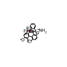 COc1ccc(C(N)=O)c(-c2c(Cl)ccc3c2[C@H](O)[C@@](CN)(c2ccccc2OC(F)(F)F)O3)c1F